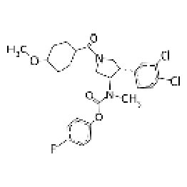 COC1CCC(C(=O)N2C[C@H](c3ccc(Cl)c(Cl)c3)[C@@H](N(C)C(=O)Oc3ccc(F)cc3)C2)CC1